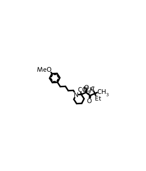 CCC(C)(C)C(=O)C(=O)C1(C(=O)O)CCCCN1CCCCc1ccc(OC)cc1